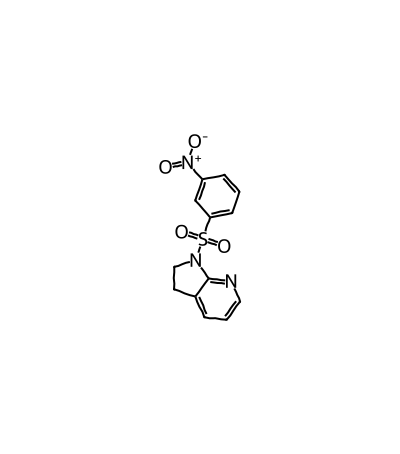 O=[N+]([O-])c1cccc(S(=O)(=O)N2CCc3cccnc32)c1